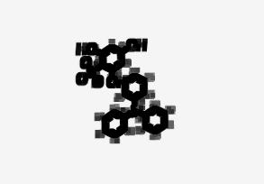 O=S(=O)([O-])c1c(O)cc(O)cc1O.c1ccc([S+](c2ccccc2)c2ccccc2)cc1